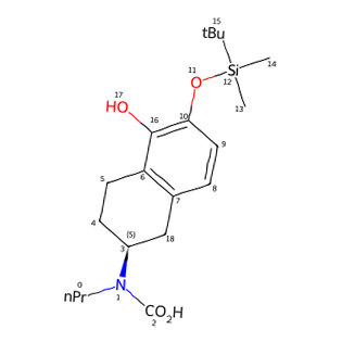 CCCN(C(=O)O)[C@H]1CCc2c(ccc(O[Si](C)(C)C(C)(C)C)c2O)C1